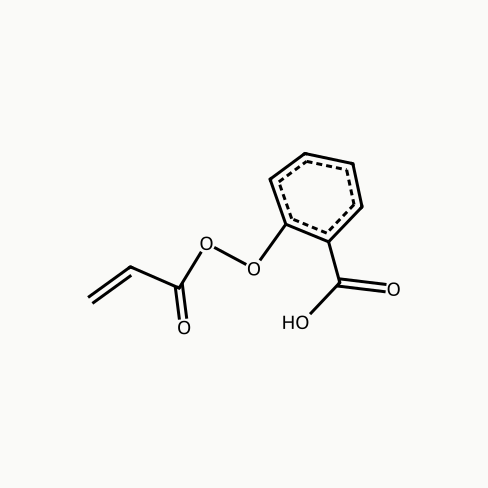 C=CC(=O)OOc1ccccc1C(=O)O